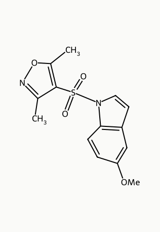 COc1ccc2c(ccn2S(=O)(=O)c2c(C)noc2C)c1